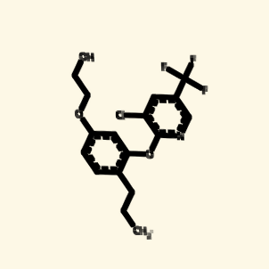 [CH2]CCc1ccc(OCCO)cc1Oc1ncc(C(F)(F)F)cc1Cl